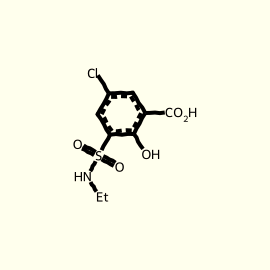 CCNS(=O)(=O)c1cc(Cl)cc(C(=O)O)c1O